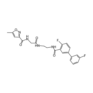 Cc1cc(C(=O)NCC(=O)NCCNC(=O)c2cc(-c3cccc(F)c3)ccc2F)no1